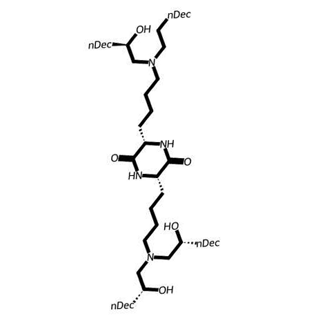 CCCCCCCCCCCCN(CCCC[C@@H]1NC(=O)[C@H](CCCCN(C[C@H](O)CCCCCCCCCC)C[C@H](O)CCCCCCCCCC)NC1=O)C[C@H](O)CCCCCCCCCC